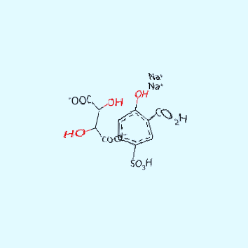 O=C(O)c1cc(S(=O)(=O)O)ccc1O.O=C([O-])C(O)C(O)C(=O)[O-].[Na+].[Na+]